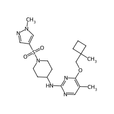 Cc1cnc(NC2CCN(S(=O)(=O)c3cnn(C)c3)CC2)nc1OCC1(C)CCC1